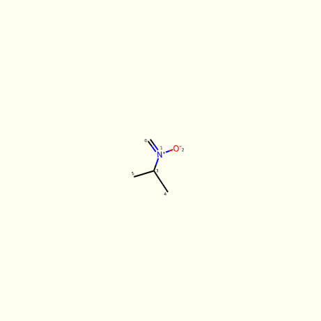 C=[N+]([O-])C(C)C